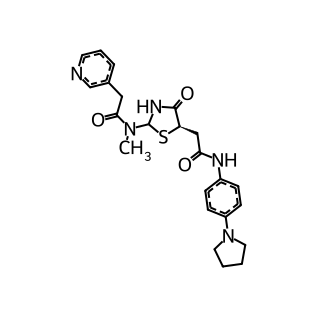 CN(C(=O)Cc1cccnc1)C1NC(=O)[C@@H](CC(=O)Nc2ccc(N3CCCC3)cc2)S1